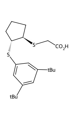 CC(C)(C)c1cc(S[C@@H]2CCC[C@H]2SCC(=O)O)cc(C(C)(C)C)c1